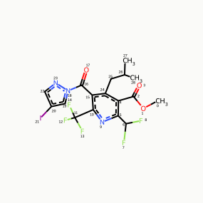 COC(=O)c1c(C(F)F)nc(C(F)(F)F)c(C(=O)n2cc(I)cn2)c1CC(C)C